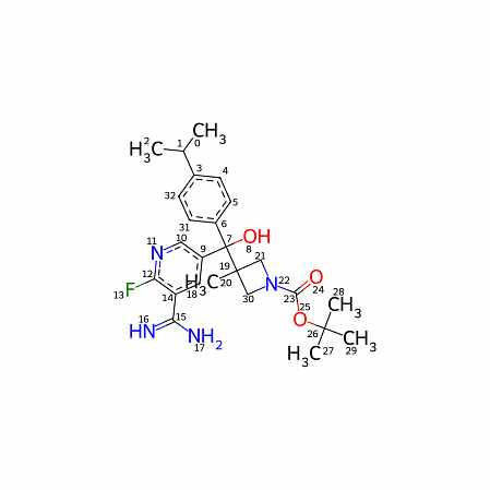 CC(C)c1ccc(C(O)(c2cnc(F)c(C(=N)N)c2)C2(C)CN(C(=O)OC(C)(C)C)C2)cc1